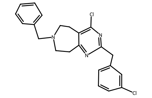 Clc1cccc(Cc2nc(Cl)c3c(n2)CCN(Cc2ccccc2)CC3)c1